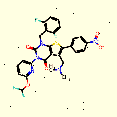 CN(C)Cc1c(-c2ccc([N+](=O)[O-])cc2)sc2c1c(=O)n(-c1cccc(OC(F)F)n1)c(=O)n2Cc1c(F)cccc1F